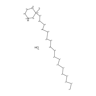 CCCCCCCCCCCCCCCCCCC1(C)CNCCO1.Cl